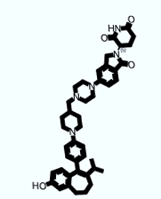 CC(C)C1=C(c2ccc(N3CCC(CN4CCN(c5ccc6c(c5)CN([C@H]5CCC(=O)NC5=O)C6=O)CC4)CC3)cc2)c2ccc(O)cc2CCC1